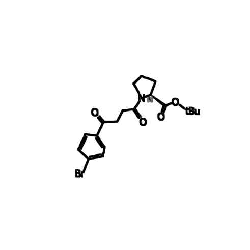 CC(C)(C)OC(=O)[C@@H]1CCCN1C(=O)CCC(=O)c1ccc(Br)cc1